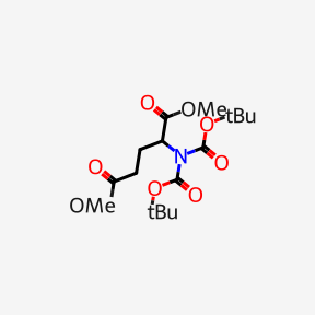 COC(=O)CCC(C(=O)OC)N(C(=O)OC(C)(C)C)C(=O)OC(C)(C)C